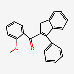 COc1ccccc1C(=O)C1=C(c2ccccc2)c2ccccc2C1